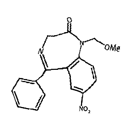 COCN1C(=O)CN=C(c2ccccc2)c2cc([N+](=O)[O-])ccc21